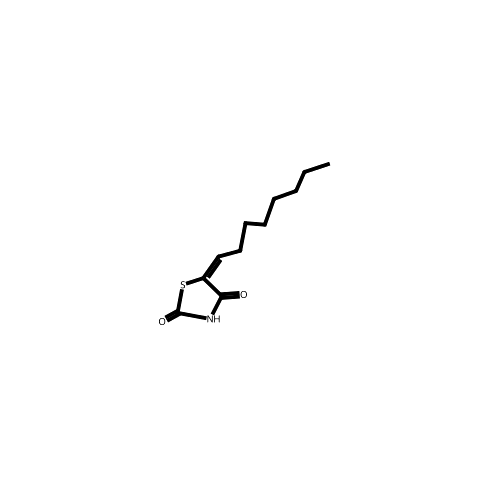 CCCCCCC/C=C1/SC(=O)NC1=O